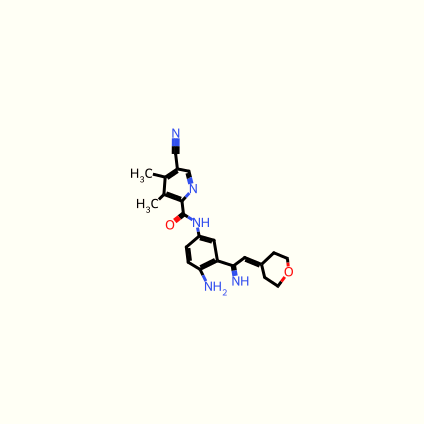 Cc1c(C#N)cnc(C(=O)Nc2ccc(N)c(C(=N)C=C3CCOCC3)c2)c1C